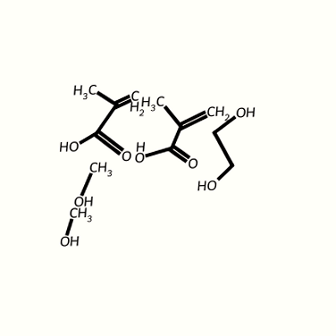 C=C(C)C(=O)O.C=C(C)C(=O)O.CO.CO.OCCO